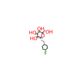 OC[C@H]1O[C@H](CCc2ccc(F)cc2)[C@H](O)[C@H](O)[C@@H]1O